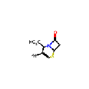 [2H]C1=CSC2CC(=O)N2C1C(=O)O